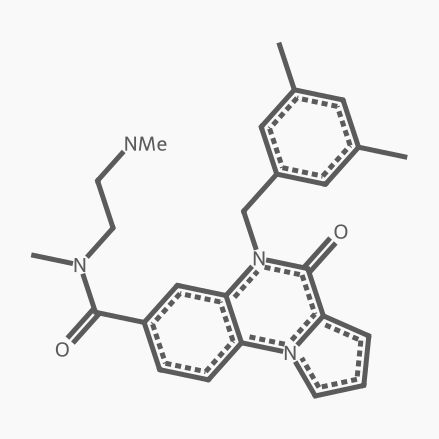 CNCCN(C)C(=O)c1ccc2c(c1)n(Cc1cc(C)cc(C)c1)c(=O)c1cccn12